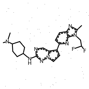 Cc1nc2ccc(-c3ccn4nc(NC5CCC(N(C)C)CC5)ncc34)nc2n1CC(F)F